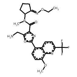 CCO/N=C1\CCCC1N(C)C(=O)c1nc(-c2ccc(OC)c3nc(C(F)(F)F)ccc23)oc1CN